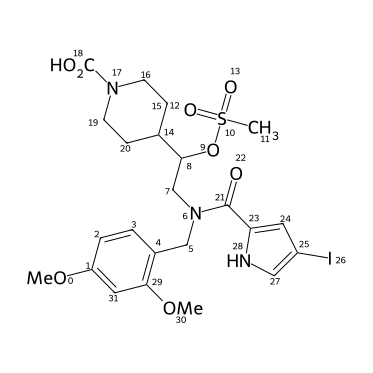 COc1ccc(CN(CC(OS(C)(=O)=O)C2CCN(C(=O)O)CC2)C(=O)c2cc(I)c[nH]2)c(OC)c1